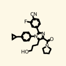 N#Cc1ccc(-c2nc(C(=O)N3CCCC3)c(CCCO)n2-c2ccc(C3CC3)cc2)cc1F